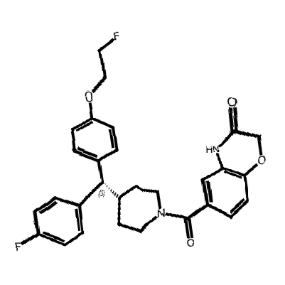 O=C1COc2ccc(C(=O)N3CCC([C@H](c4ccc(F)cc4)c4ccc(OCCF)cc4)CC3)cc2N1